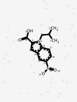 CC(C)Cn1c(C(=O)O)cc2cc([N+](=O)[O-])ccc21